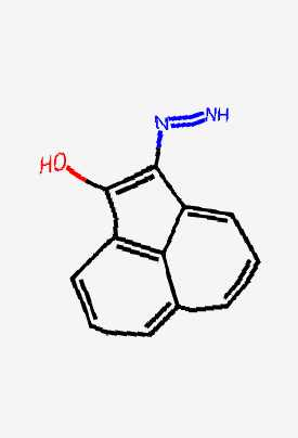 N=NC1=C(O)c2cccc3cccc1c23